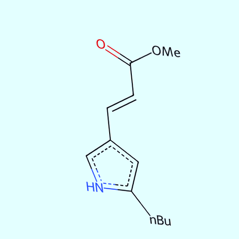 CCCCc1cc(C=CC(=O)OC)c[nH]1